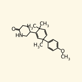 COc1ccc(C2(C)C=CC(C)(C)C(C3CCC(=O)NC3)=C2)cc1